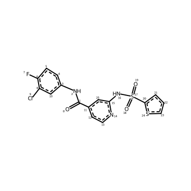 O=C(Nc1ccc(F)c(Cl)c1)c1ccnc(NS(=O)(=O)c2cccs2)c1